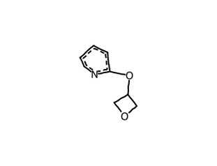 c1ccc(OC2COC2)nc1